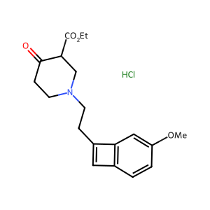 CCOC(=O)C1CN(CCC2=Cc3ccc(OC)cc32)CCC1=O.Cl